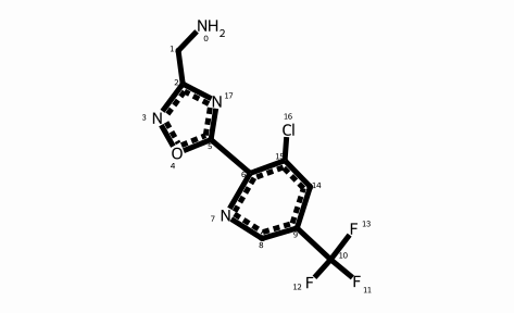 NCc1noc(-c2ncc(C(F)(F)F)cc2Cl)n1